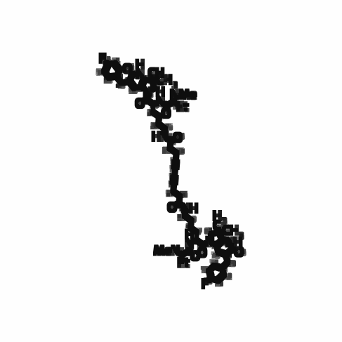 CC[C@H](NC)C(=O)N[C@@H](CCCCNC(=O)CCC#CC#CCCC(=O)NCCCC[C@H](NC(=O)[C@H](CC)NC)C(=O)N1CC(C)(C)c2[nH]c(=O)c(Cc3ccc(F)cc3)cc21)C(=O)N1CC(C)(C)c2[nH]c(=O)c(Cc3ccc(F)cc3)cc21